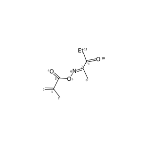 C=C(C)C(=O)ON=C(C)C(=O)CC